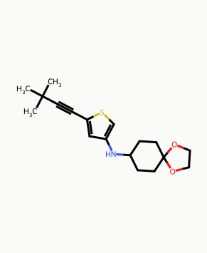 CC(C)(C)C#Cc1cc(NC2CCC3(CC2)OCCO3)cs1